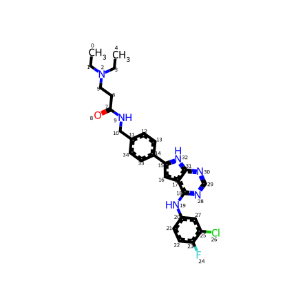 CCN(CC)CCC(=O)NCc1ccc(-c2cc3c(Nc4ccc(F)c(Cl)c4)ncnc3[nH]2)cc1